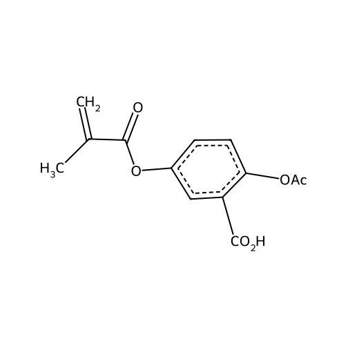 C=C(C)C(=O)Oc1ccc(OC(C)=O)c(C(=O)O)c1